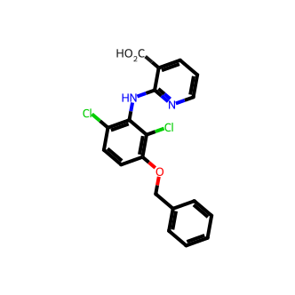 O=C(O)c1cccnc1Nc1c(Cl)ccc(OCc2ccccc2)c1Cl